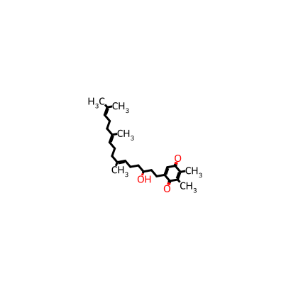 CC(C)=CCC/C(C)=C/CC/C(C)=C/CCC(O)CCC1=CC(=O)C(C)=C(C)C1=O